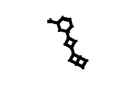 OC1C=CCN(C2CC(C3CC4CCC43)C2)C1